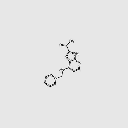 O=C(O)c1cc2c(NCc3ccccc3)cccc2[nH]1